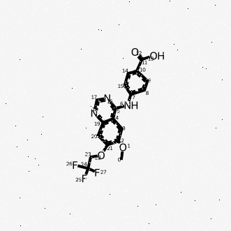 COc1cc2c(Nc3ccc(C(=O)O)cc3)ncnc2cc1OCC(F)(F)F